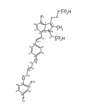 Cc1c(CCCC(=O)O)c2c(F)ccc(/C=C/c3ccc(OC/C=C/COc4ccc(F)cc4F)cc3)c2n1CC(=O)O